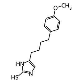 COc1ccc(CCCCc2cnc(S)[nH]2)cc1